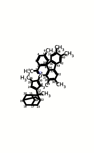 C/[C](c1ccc(C)cc1)=[Zr](\[C]1=CC(C2(C)C3CC4CC(C3)CC2C4)=CC1C)[c]1c(C)c(C)cc2c1Cc1cc(C)c(C)cc1-2